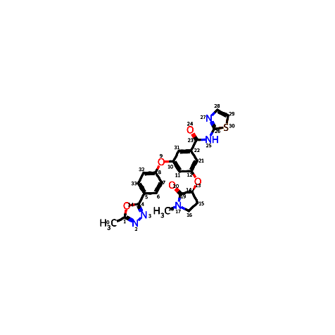 Cc1nnc(-c2ccc(Oc3cc(O[C@H]4CCN(C)C4=O)cc(C(=O)Nc4nccs4)c3)cc2)o1